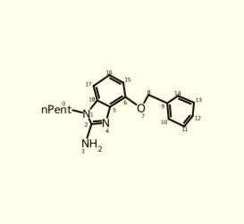 CCCCCn1c(N)nc2c(OCc3ccccc3)cccc21